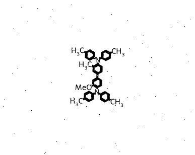 COc1cc(-c2ccc(N(c3ccc(C)cc3)c3ccc(C)cc3)c(C)c2)ccc1N(c1ccc(C)cc1)c1ccc(C)cc1